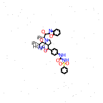 CC(C)[C@H](N)C(=O)[C@@]1(C(=O)O)C(C(=O)c2ccc(NC(=O)NS(=O)(=O)c3ccccc3)cc2)CCN1[C@H](C(=O)c1nc2ccccc2o1)C(C)C